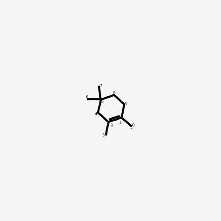 [CH2]C1=C(C)CC(C)(C)CC1